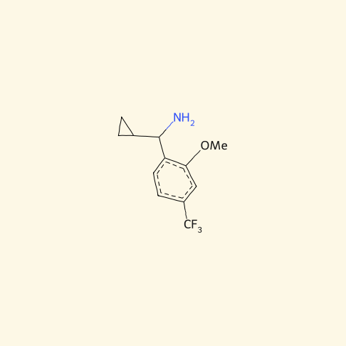 COc1cc(C(F)(F)F)ccc1C(N)C1CC1